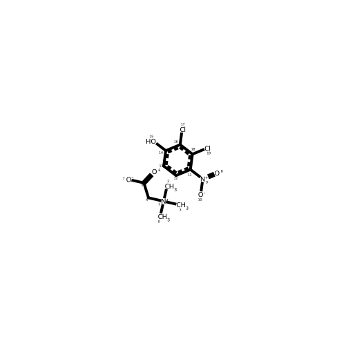 C[N+](C)(C)CC(=O)[O-].O=[N+]([O-])c1ccc(O)c(Cl)c1Cl